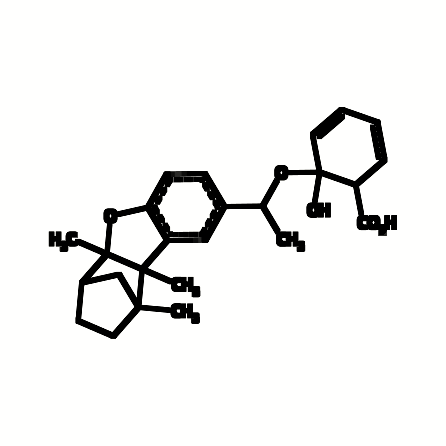 CC(OC1(O)C=CC=CC1C(=O)O)c1ccc2c(c1)C1(C)C3(C)CCC(C3)C1(C)O2